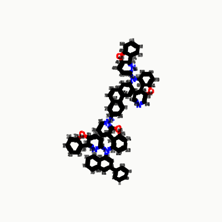 c1ccc(-c2cc(N(c3ccc4oc5ccccc5c4n3)c3cccc4oc5c(ccc[n+]5-c5ccc6c(ccc7cc(N(c8ccc9oc%10ccccc%10c9n8)c8cccc9oc%10cnccc%10c89)ccc76)c5)c34)c3ccccc3c2)cc1